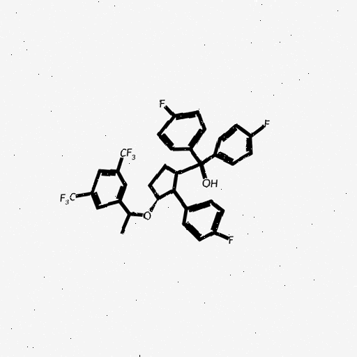 CC(O[C@H]1CCC(C(O)(c2ccc(F)cc2)c2ccc(F)cc2)C1c1ccc(F)cc1)c1cc(C(F)(F)F)cc(C(F)(F)F)c1